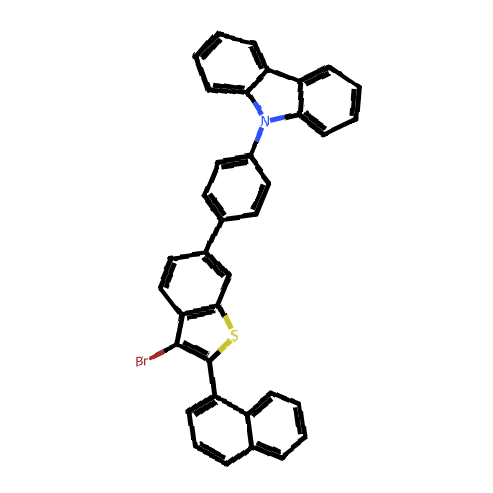 Brc1c(-c2cccc3ccccc23)sc2cc(-c3ccc(-n4c5ccccc5c5ccccc54)cc3)ccc12